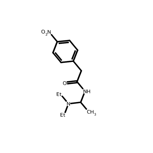 CCN(CC)C(C)NC(=O)Cc1ccc([N+](=O)[O-])cc1